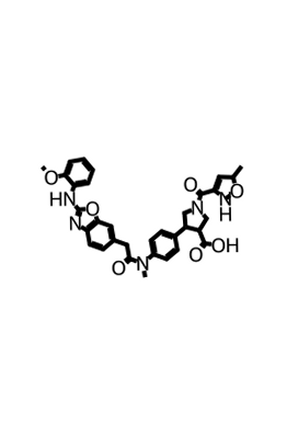 COc1ccccc1Nc1nc2ccc(CC(=O)N(C)c3ccc(C4CN(C(=O)C5=CC(C)ON5)CC4C(=O)O)cc3)cc2o1